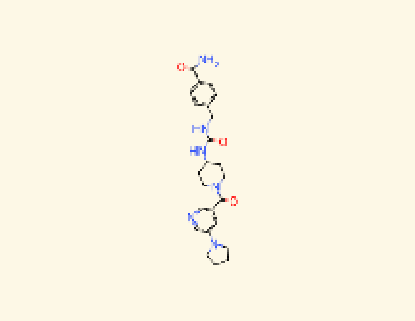 NC(=O)c1ccc(CNC(=O)NC2CCN(C(=O)c3cncc(N4CCCC4)c3)CC2)cc1